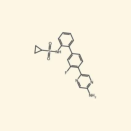 Nc1cnc(-c2ccc(-c3ccccc3NS(=O)(=O)C3CC3)cc2F)cn1